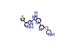 c1cc(-c2ccsc2)c2cc(-c3n[nH]c4ccc(-c5cncc(OC6CCNCC6)c5)nc34)[nH]c2n1